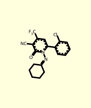 N#Cc1c(C(F)(F)F)cc(-c2ccccc2Cl)n(N=C2CCCCC2)c1=O